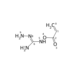 C=CC(=O)ONC(N)=NN